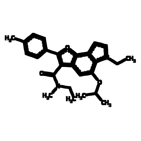 CCN(C)C(=O)c1c(-c2ccc(C)cc2)oc2c1cc(OC(C)C)c1c2ccn1CC